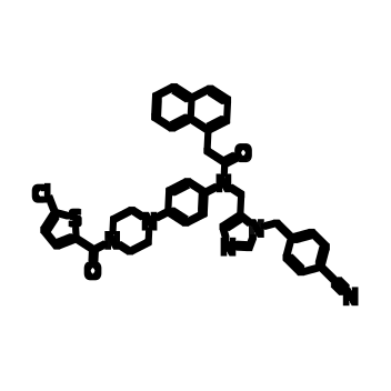 N#Cc1ccc(Cn2cncc2CN(C(=O)Cc2cccc3ccccc23)c2ccc(N3CCN(C(=O)c4ccc(Cl)s4)CC3)cc2)cc1